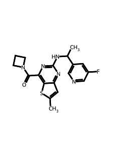 Cc1cc2nc(NC(C)c3cncc(F)c3)nc(C(=O)N3CCC3)c2s1